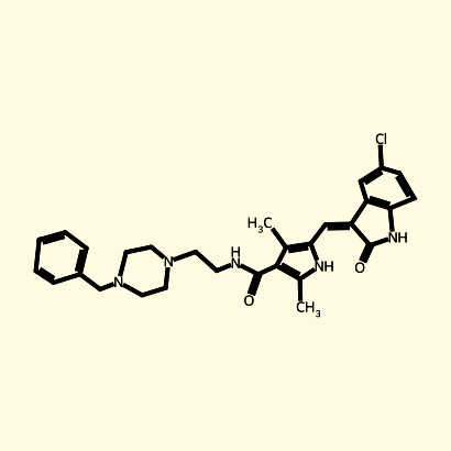 Cc1[nH]c(/C=C2\C(=O)Nc3ccc(Cl)cc32)c(C)c1C(=O)NCCN1CCN(Cc2ccccc2)CC1